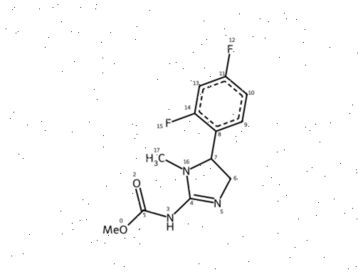 COC(=O)NC1=NCC(c2ccc(F)cc2F)N1C